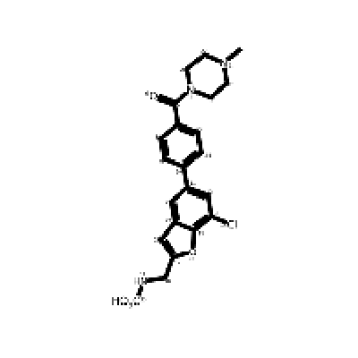 CN1CCN(C(=O)c2ccc(-c3cc(Cl)c4oc(CNC(=O)O)cc4c3)cc2)CC1